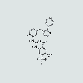 COc1cc(OC)c(C(F)(F)F)cc1NC(=O)Nc1cc(Cn2ccnc2-c2ccncc2)ccc1C